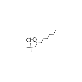 CCCCCCC(CC(C)(C)C)OCl